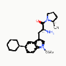 COn1cc(C[C@H](N)C(=O)N2CCC[C@H]2C#N)c2cc(C3CCCCC3)ccc21